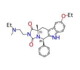 CCOc1ccc2[nH]c3c(c2c1)C[C@@]1(C)C(=O)N(CCN(C)CC)C(=O)N1[C@@H]3c1ccccc1